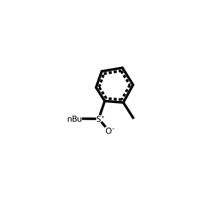 CCCC[S+]([O-])c1ccccc1C